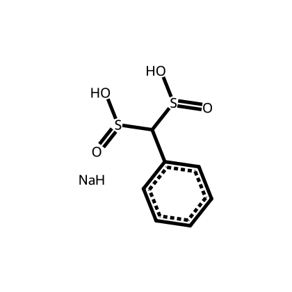 O=S(O)C(c1ccccc1)S(=O)O.[NaH]